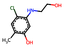 Cc1cc(Cl)c(NCCO)cc1O